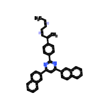 C=C(/C=C\C=C/C)c1ccc(-c2nc(-c3ccc4ccccc4c3)cc(-c3ccc4ccccc4c3)n2)cc1